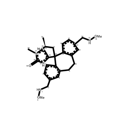 CONCc1ccc2c(c1)CCc1cc(CNOC)ccc1C2(C[C@H](C)N)c1nn(C)c(=O)[nH]1